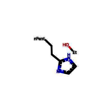 CCCCCCCc1ncc[nH]1.CCO